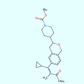 COC(=O)/C(C)=C(\c1ccc2c(c1)CC(C1CCN(C(=O)OC(C)(C)C)CC1)OC2)C1CC1